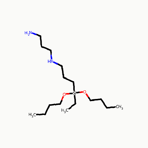 CCCCO[Si](CC)(CCCNCCCN)OCCCC